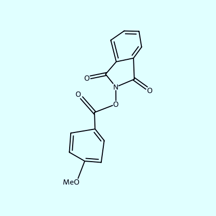 COc1ccc(C(=O)ON2C(=O)c3ccccc3C2=O)cc1